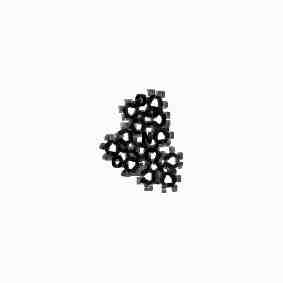 c1ccc(C2(c3ccccc3)c3ccccc3-c3ccc(-c4ccccc4N(c4cccc5c4-c4ccccc4C54c5ccccc5Oc5ccccc54)c4cccc5c4-c4ccccc4C54c5ccccc5Oc5ccccc54)cc32)cc1